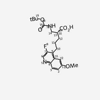 COc1ccc2ncc(F)c(CCC[C@@H](CNC(=O)OC(C)(C)C)C(=O)O)c2c1